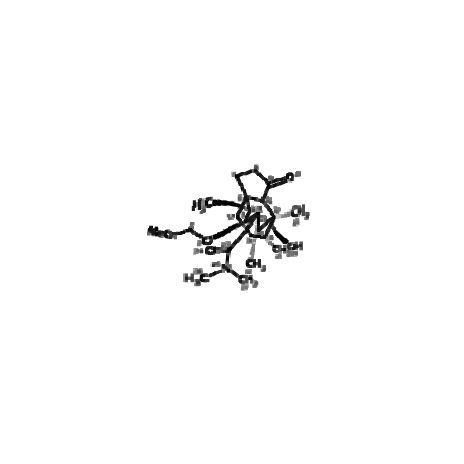 COCO[C@H]1[C@H](C)C23CCC(=O)C2[C@@](C)([C@H](C)CC3)[C@H](O)C[C@@]1(C)C(=O)N(C)C